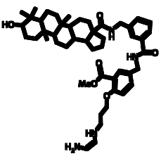 COC(=O)c1cc(CNC(=O)c2cccc(CNC(=O)C34CCCC3C3CCC5C(C)(CCC6C(C)(C)C(O)CCC65C)C3CC4)c2)ccc1OCCCN/C=C\N